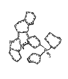 S=P(c1ccccc1)(c1ccccc1)c1ccc2c3c4ccccc4ccc3c3nc4ccccc4n3c2c1